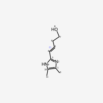 Cc1nc(/C=C/CCO)[nH]c1C